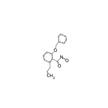 C=CCc1cccc(OCc2ccccc2)c1C(=O)N=O